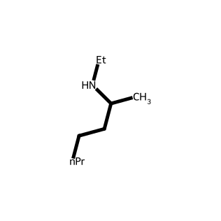 [CH2]CCCCC(C)NCC